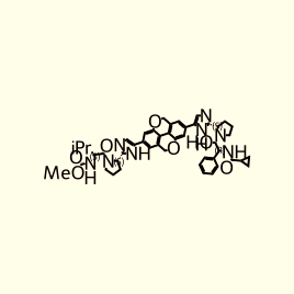 COC(=O)N[C@H](C(=O)N1CCC[C@H]1c1ncc(-c2cc3c4c(c2)OCc2cc(-c5cnc([C@@H]6CCCN6C(O)[C@H](NC(=O)C6CC6)c6ccccc6)[nH]5)cc(c2-4)OC3)[nH]1)C(C)C